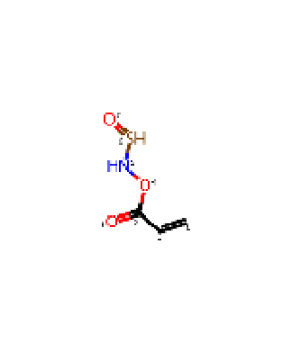 C=CC(=O)ON[SH]=O